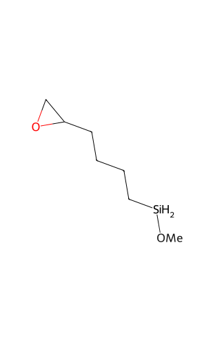 CO[SiH2]CCCCC1CO1